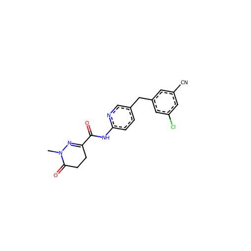 CN1N=C(C(=O)Nc2ccc(Cc3cc(Cl)cc(C#N)c3)cn2)CCC1=O